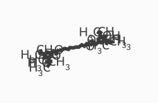 CCC(C)(C)c1cc(CC(=O)OCCCCCCCCCCOC(=O)Cc2cc(C(C)C)c(O)c(C(C)(C)CC)c2)cc(C(C)C)c1O